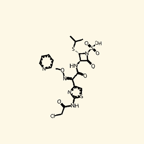 CON=C(C(=O)N[C@@H]1C(=O)N(S(=O)(=O)O)[C@H]1SC(C)C)c1csc(NC(=O)CCl)n1.c1ccncc1